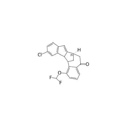 O=C1C[C@H]2CC(c3c(OC(F)F)cccc31)C1C2=Cc2ccc(Cl)cc21